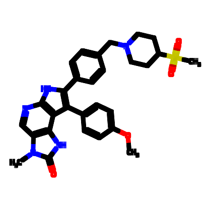 COc1ccc(-c2c(-c3ccc(CN4CCC(S(C)(=O)=O)CC4)cc3)[nH]c3ncc4c([nH]c(=O)n4C)c23)cc1